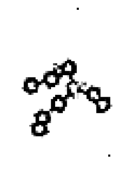 c1ccc(-c2ccc3c(c2)oc2cccc(C4N=C(c5ccc(-c6ccc7ccccc7c6)cc5)N=C(c5ccc6ccccc6c5)N4)c23)cc1